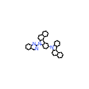 c1ccc2nc(-n3c4ccc(-n5c6ccccc6c6c7ccccc7ccc65)cc4c4c5ccccc5ccc43)ncc2c1